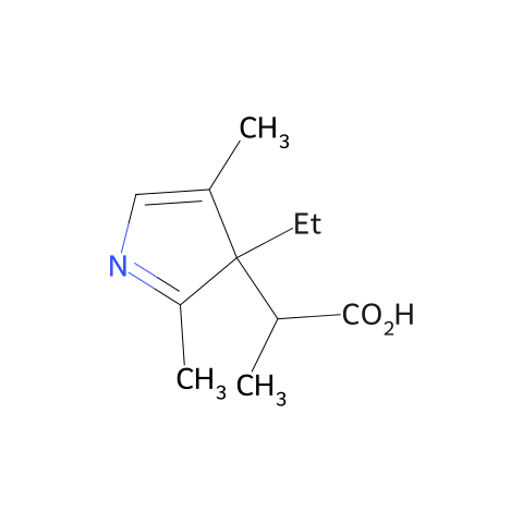 CCC1(C(C)C(=O)O)C(C)=CN=C1C